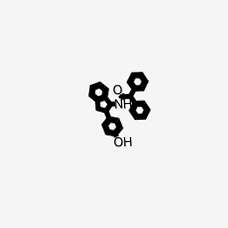 O=C(NC1c2ccccc2CC1c1ccc(O)cc1)C(c1ccccc1)c1ccccc1